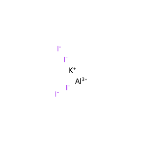 [Al+3].[I-].[I-].[I-].[I-].[K+]